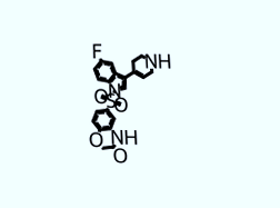 O=C1COc2ccc(S(=O)(=O)n3cc(C4=CCNCC4)c4cc(F)ccc43)cc2N1